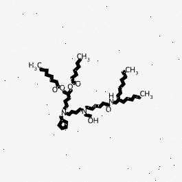 CCCCCCCCC(CCCCCC)CNC(=O)CCCCCN(CCO)CCCCN(CCCCC(COC(=O)CCCCCCC)COC(=O)CCCCCCC)CC1CCCC1